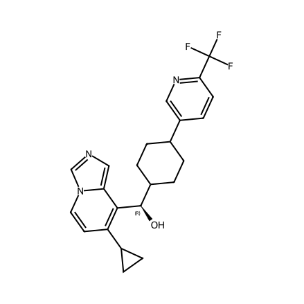 O[C@@H](c1c(C2CC2)ccn2cncc12)C1CCC(c2ccc(C(F)(F)F)nc2)CC1